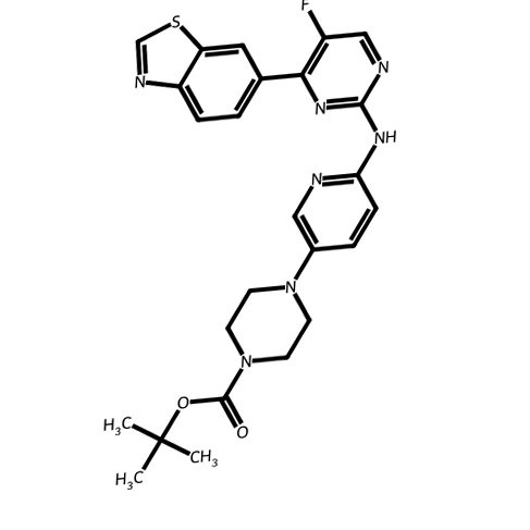 CC(C)(C)OC(=O)N1CCN(c2ccc(Nc3ncc(F)c(-c4ccc5ncsc5c4)n3)nc2)CC1